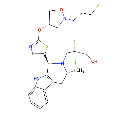 C[C@@H]1Cc2c([nH]c3ccccc23)[C@@H](c2cnc(O[C@@H]3CON(CCCF)C3)s2)N1CC(F)(F)CO